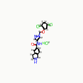 Cl.O=C(Nc1cnn(COc2cc(Cl)ccc2Cl)c1)c1ccc2c(c1)CCNC2